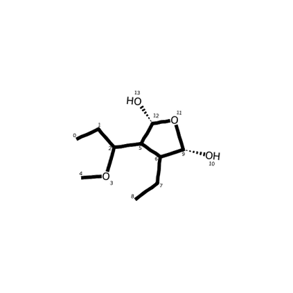 CCC(OC)C1C(CC)[C@@H](O)O[C@H]1O